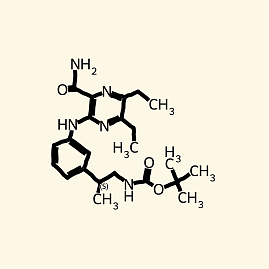 CCc1nc(Nc2cccc([C@H](C)CNC(=O)OC(C)(C)C)c2)c(C(N)=O)nc1CC